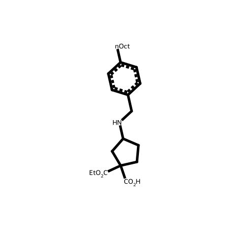 CCCCCCCCc1ccc(CNC2CCC(C(=O)O)(C(=O)OCC)C2)cc1